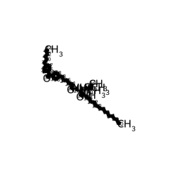 CCCCCCCCCCCCCCCCNC(=O)[C@H](CNC(=O)CCCCCc1ccc(C(=O)c2ccc(CCCCCC)cc2)cc1)NC(=O)OC(C)(C)C